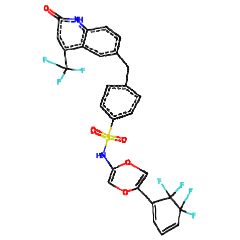 O=c1cc(C(F)(F)F)c2cc(Cc3ccc(S(=O)(=O)NC4=COC(C5=CC=CC(F)(F)C5(F)F)=CO4)cc3)ccc2[nH]1